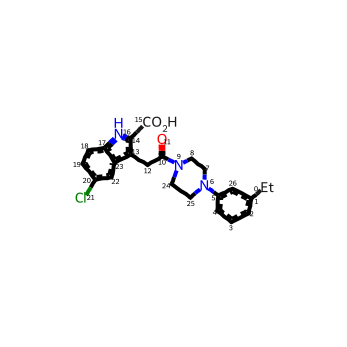 CCc1cccc(N2CCN(C(=O)Cc3c(C(=O)O)[nH]c4ccc(Cl)cc34)CC2)c1